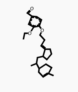 CCOc1cc(C=O)ccc1OCCC=C1CCCC1CC(C)C1CC=C(C)CC1